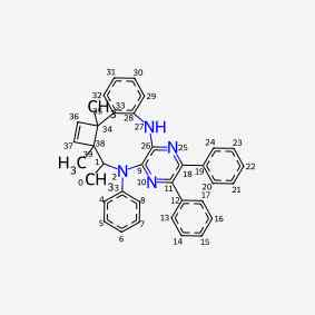 CC1N(c2ccccc2)c2nc(-c3ccccc3)c(-c3ccccc3)nc2Nc2ccccc2C2(C)C=CC12C